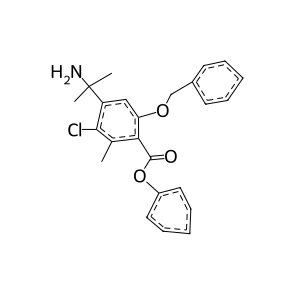 Cc1c(Cl)c(C(C)(C)N)cc(OCc2ccccc2)c1C(=O)Oc1ccccc1